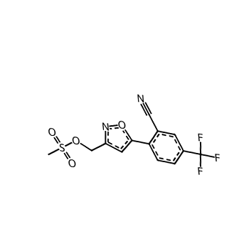 CS(=O)(=O)OCc1cc(-c2ccc(C(F)(F)F)cc2C#N)on1